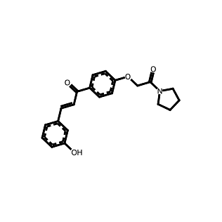 O=C(/C=C/c1cccc(O)c1)c1ccc(OCC(=O)N2CCCC2)cc1